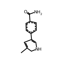 CC1=CC(c2ccc(C(N)=O)cc2)=CNC1